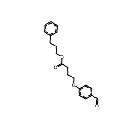 O=[C]c1ccc(OCCCC(=O)OCCCc2ccccc2)cc1